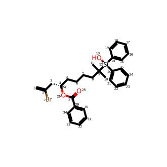 C=C(Br)C[C@H](CCCCC(C)(C)[Si](O)(c1ccccc1)c1ccccc1)OC(=O)c1ccccc1